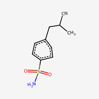 CC(C#N)Cc1ccc(S(N)(=O)=O)cc1